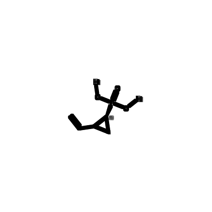 C=CC1C[C@@H]1P(=O)(OCC)OCC